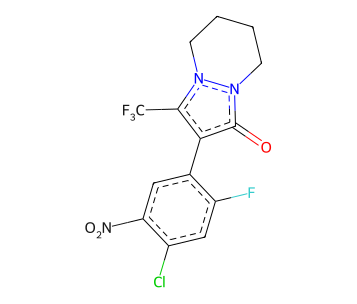 O=c1c(-c2cc([N+](=O)[O-])c(Cl)cc2F)c(C(F)(F)F)n2n1CCCC2